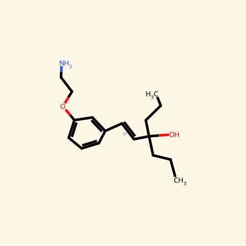 CCCC(O)(/C=C/c1cccc(OCCN)c1)CCC